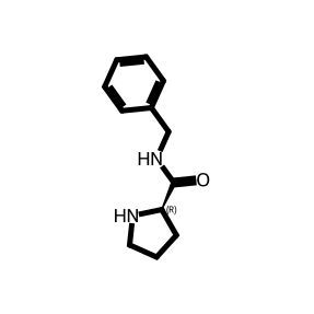 O=C(NCc1ccccc1)[C@H]1CCCN1